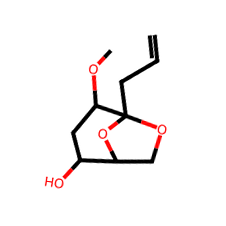 C=CCC12OCC(O1)C(O)CC2OC